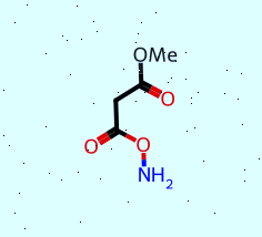 COC(=O)CC(=O)ON